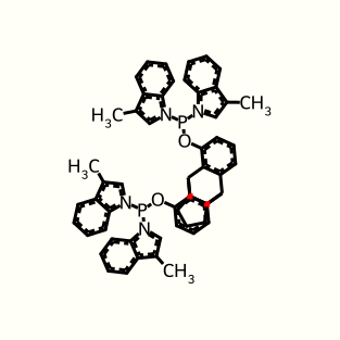 Cc1cn(P(Oc2cccc3c2C2c4c(OP(n5cc(C)c6ccccc65)n5cc(C)c6ccccc65)cccc4C3C3CCCC23)n2cc(C)c3ccccc32)c2ccccc12